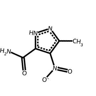 Cc1n[nH]c(C(N)=O)c1[N+](=O)[O-]